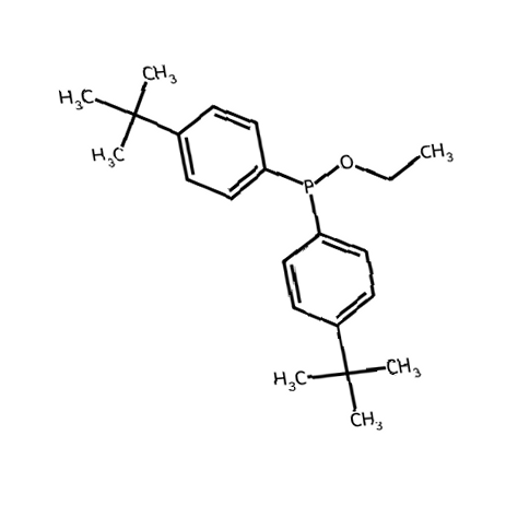 CCOP(c1ccc(C(C)(C)C)cc1)c1ccc(C(C)(C)C)cc1